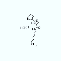 CCCCCCCNC(=O)C1CSC(c2cccnc2)N1.Cl.Cl